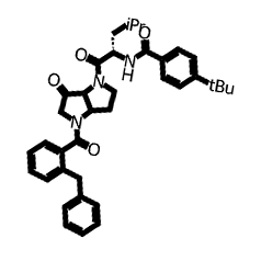 CC(C)C[C@H](NC(=O)c1ccc(C(C)(C)C)cc1)C(=O)N1CCC2C1C(=O)CN2C(=O)c1ccccc1Cc1ccccc1